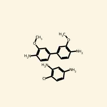 COc1cc(-c2ccc(N)c(OC)c2)ccc1N.Nc1ccc(Cl)c(N)c1